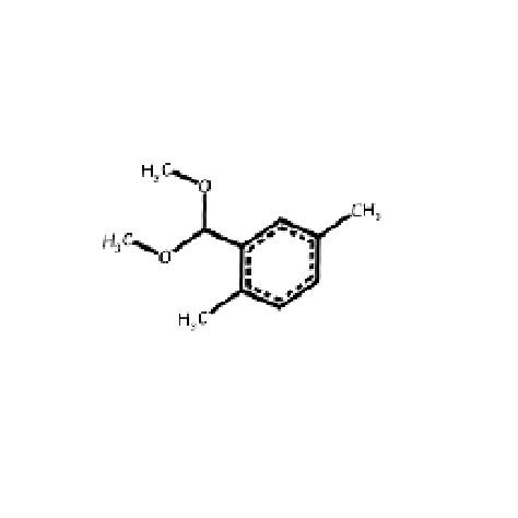 COC(OC)c1cc(C)ccc1C